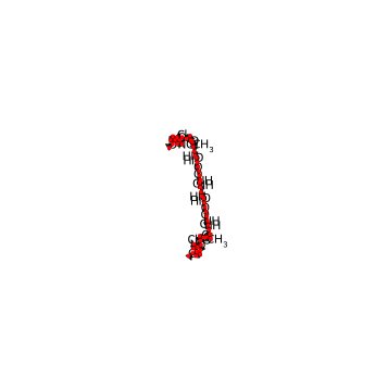 CN(CCCCNC(=O)NCCOCCOCCNC(=O)NCCCCNC(=O)NCCOCCOCCNC(=O)NCCCCN(C)S(=O)(=O)c1ccc(Cl)c(COC2(c3cnccc3-c3ccccc3OC3CC3)CC2)c1)S(=O)(=O)c1ccc(Cl)c(COC2(c3cnccc3-c3ccccc3OC3CC3)CC2)c1